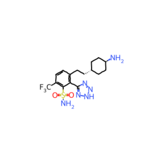 NS(=O)(=O)c1c(C(F)(F)F)ccc(CC[C@H]2CC[C@H](N)CC2)c1-c1nn[nH]n1